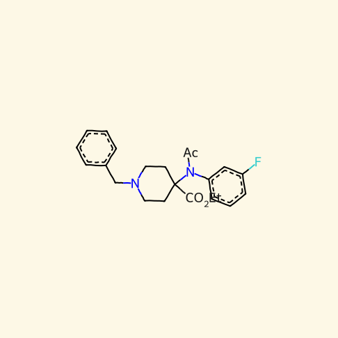 CCOC(=O)C1(N(C(C)=O)c2cccc(F)c2)CCN(Cc2ccccc2)CC1